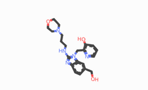 OCc1ccc2nc(NCCCN3CCOCC3)n(Cc3ncccc3O)c2c1